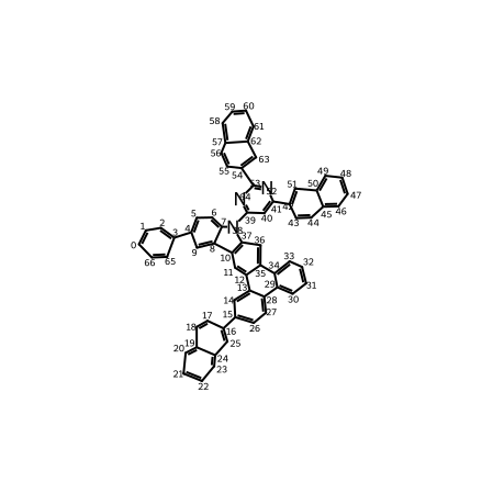 c1ccc(-c2ccc3c(c2)c2cc4c5cc(-c6ccc7ccccc7c6)ccc5c5ccccc5c4cc2n3-c2cc(-c3ccc4ccccc4c3)nc(-c3ccc4ccccc4c3)n2)cc1